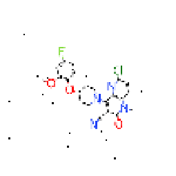 COc1cc(F)ccc1OC1CCN(c2c(C#N)c(=O)n(C)c3ccc(Cl)nc23)CC1